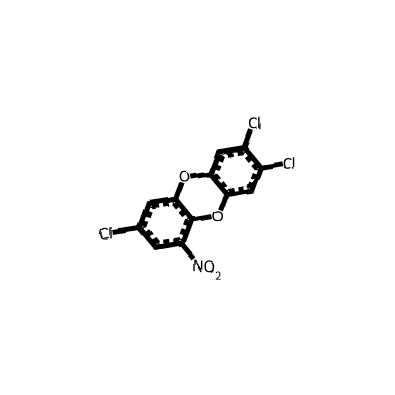 O=[N+]([O-])c1cc(Cl)cc2c1Oc1cc(Cl)c(Cl)cc1O2